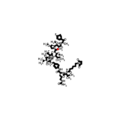 CC[C@H](C)[C@@H]([C@@H](CC(=O)N1C[C@H](OC)C[C@H]1[C@H](OC)[C@@H](C)C(=O)N[C@@H](C)C(=O)c1ccc(F)cc1)OC)N(C)C(=O)[C@@H](NC(=O)[C@H](C(C)C)N(C)C(=O)OCc1ccc(NC(=O)[C@H](CCCNC(N)=O)NC(=O)[C@@H](NC(=O)CCCCCN2C(=O)C=CC2=O)C(C)C)cc1)C(C)C